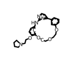 c1cc2cc(c1)-c1ccnc(n1)Nc1ccc(OCCN3CCCC3)c(c1)OCCOCCO2